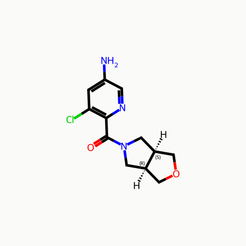 Nc1cnc(C(=O)N2C[C@H]3COC[C@H]3C2)c(Cl)c1